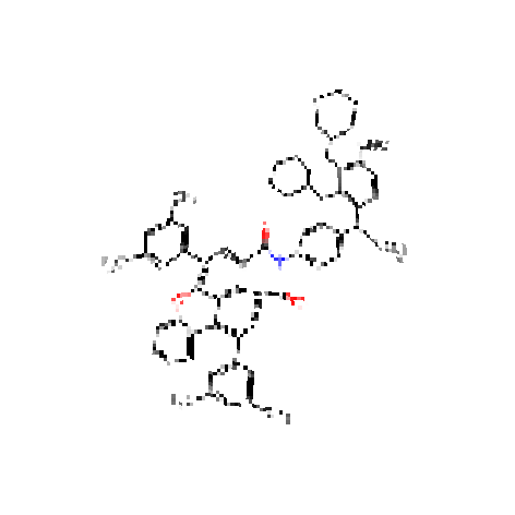 O=Cc1ccc(C(C(=O)O)c2ccc(-n3c(=O)c4cc(-c5cc(C(F)(F)F)cc(C(F)(F)F)c5)c5oc6ccccc6c6c(-c7cc(C(F)(F)F)cc(C(F)(F)F)c7)cc(c3=O)c4c56)cc2)c(CC2CCCCC2)c1CC1CCCCC1